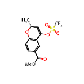 COC(=O)c1ccc2c(c1)C(OS(=O)(=O)C(F)(F)F)=C[C@@H](C)O2